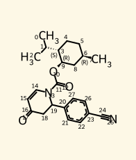 CC(C)[C@@H]1CC[C@@H](C)C[C@H]1OC(=O)N1C=CC(=O)CC1c1ccc(C#N)cc1